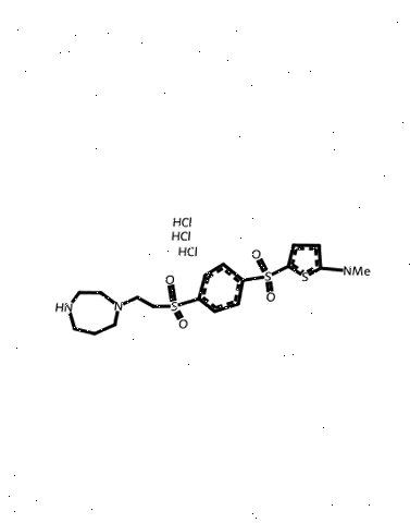 CNc1ccc(S(=O)(=O)c2ccc(S(=O)(=O)CCN3CCCNCC3)cc2)s1.Cl.Cl.Cl